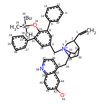 C=CC1C[N+]2(Cc3cc(-c4ccccc4)c(O[Si](C)(C)C(C)(C)C)c(-c4ccccc4)c3)CCC1CC2Cc1ccnc2ccc([O-])cc12